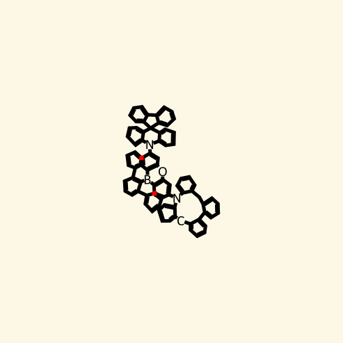 c1ccc(-c2cccc(-c3ccccc3)c2B2c3ccc(N4c5ccccc5Cc5ccccc5-c5ccccc5Cc5ccccc54)cc3Oc3cc(N4c5ccccc5C5(c6ccccc6-c6ccccc65)c5ccccc54)ccc32)cc1